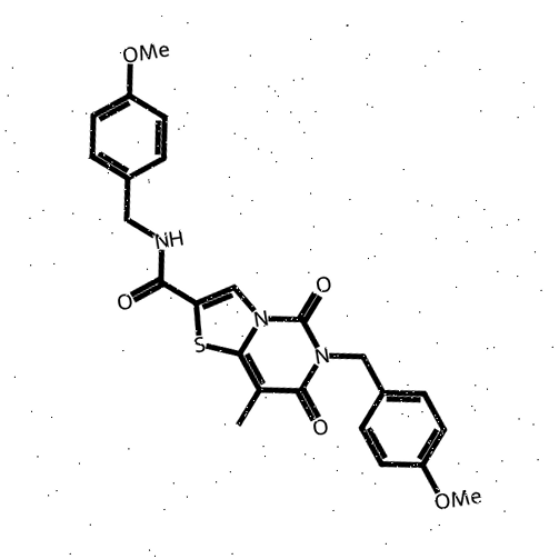 COc1ccc(CNC(=O)c2cn3c(=O)n(Cc4ccc(OC)cc4)c(=O)c(C)c3s2)cc1